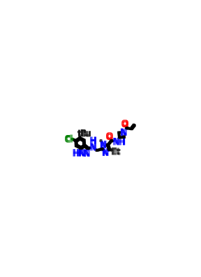 C=CC(=O)N1CC(NC(=O)c2c(CC)nc(CNc3n[nH]c4cc(Cl)c(C(C)(C)C)cc34)n2C)C1